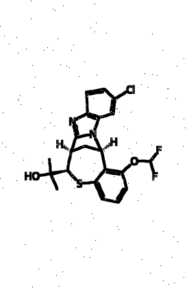 CC(C)(O)[C@@H]1Sc2cccc(OC(F)F)c2[C@H]2C[C@@H]1c1nc3ccc(Cl)cc3n12